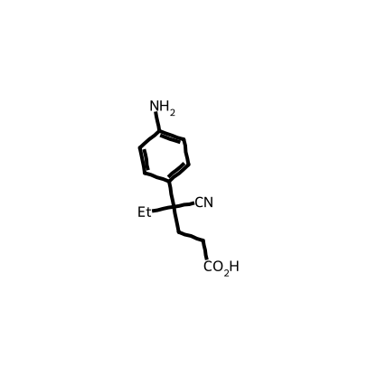 CCC(C#N)(CCC(=O)O)c1ccc(N)cc1